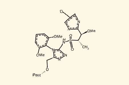 CCC[C@@H](C)OCc1nnc(NS(=O)(=O)[C@@H](C)[C@H](OC)c2ncc(Cl)cn2)n1-c1c(OC)cccc1OC